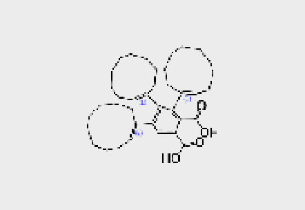 O=C(O)c1cc(/C2=C/CCCCCCCC2)c(/C2=C/CCCCCCCC2)c(/C2=C/CCCCCCCC2)c1C(=O)O